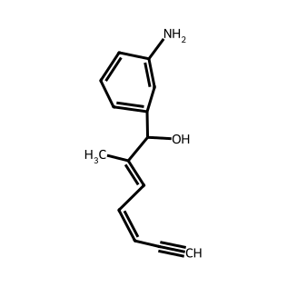 C#C/C=C\C=C(/C)C(O)c1cccc(N)c1